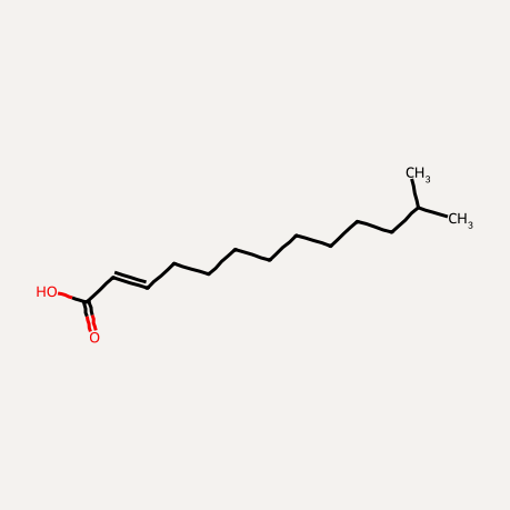 CC(C)CCCCCCCCC=CC(=O)O